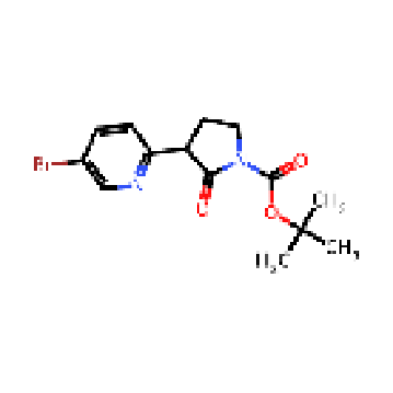 CC(C)(C)OC(=O)N1CCC(c2ccc(Br)cn2)C1=O